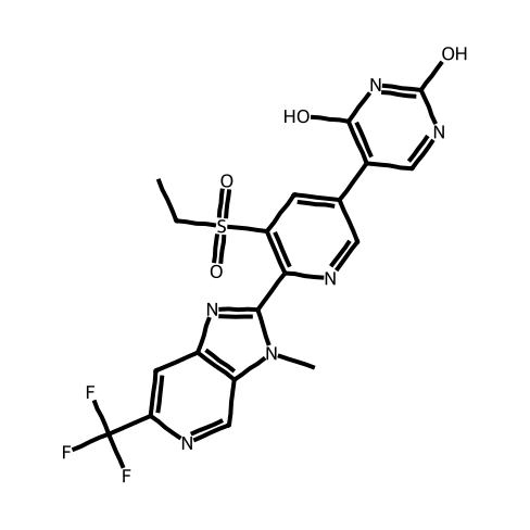 CCS(=O)(=O)c1cc(-c2cnc(O)nc2O)cnc1-c1nc2cc(C(F)(F)F)ncc2n1C